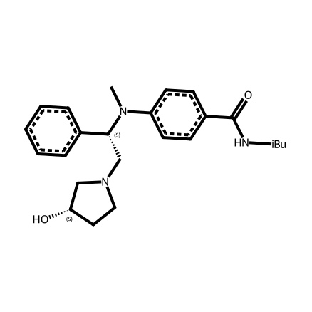 CCC(C)NC(=O)c1ccc(N(C)[C@H](CN2CC[C@H](O)C2)c2ccccc2)cc1